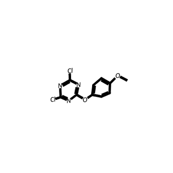 COc1ccc(Oc2nc(Cl)nc(Cl)n2)cc1